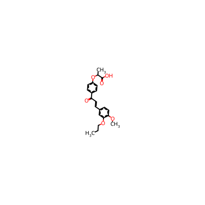 CCCOc1cc(/C=C/C(=O)c2ccc(OC(C)C(=O)O)cc2)ccc1OC